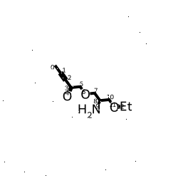 CC#CC(=O)COCC(N)COCC